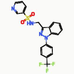 O=S(=O)(NCc1nn(-c2ccc(C(F)(F)F)cc2)c2ccccc12)c1cccnc1